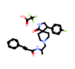 CC(CN1CCC2(CC1)C(=O)NCC2c1ccc(F)cc1)NC(=O)C#Cc1ccccc1.O=C(O)C(F)(F)F